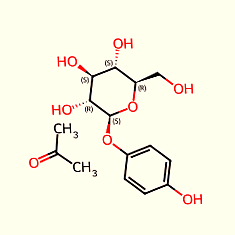 CC(C)=O.OC[C@H]1O[C@@H](Oc2ccc(O)cc2)[C@H](O)[C@@H](O)[C@@H]1O